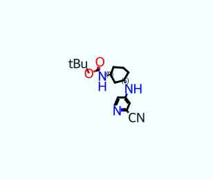 CC(C)(C)OC(=O)N[C@@H]1CCC[C@H](Nc2ccnc(C#N)c2)C1